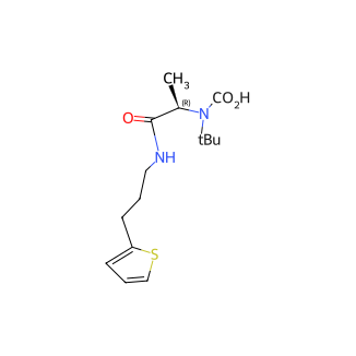 C[C@H](C(=O)NCCCc1cccs1)N(C(=O)O)C(C)(C)C